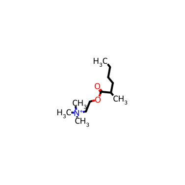 CCCCC(C)C(=O)OCC[N+](C)(C)C